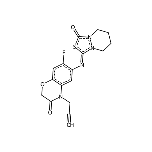 C#CCN1C(=O)COc2cc(F)c(/N=c3\sc(=O)n4n3CCCC4)cc21